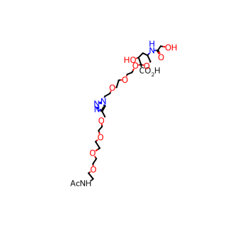 CC(=O)NCCOCCOCCOCCOCc1cn(CCOCCOCCOC2(C(=O)O)OCC(NC(=O)CO)CC2O)nn1